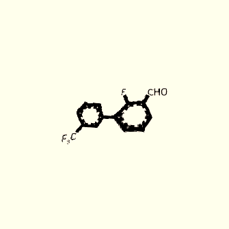 O=Cc1cccc(-c2cccc(C(F)(F)F)c2)c1F